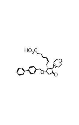 O=C(O)CCC/C=C\C[C@H]1[C@@H](OCc2ccc(-c3ccccc3)cc2)CC(=O)[C@@H]1N1CCOCC1